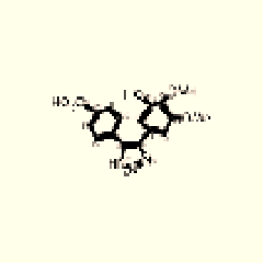 COc1cc(-c2nn[nH]c2-c2ccc(C(=O)O)cc2)cc(O)c1OC